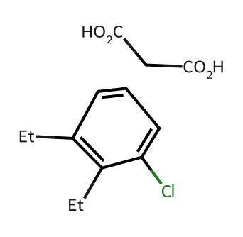 CCc1cccc(Cl)c1CC.O=C(O)CC(=O)O